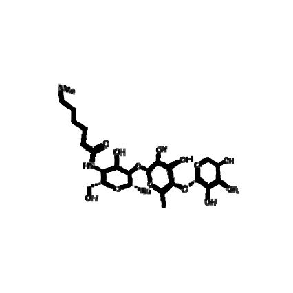 CNCCCCCC(=O)N[C@H]1C(O)C(O[C@@H]2OC(C)[C@H](O[C@@H]3OC[C@@H](O)C(O)C3O)C(O)C2O)[C@H](C(C)(C)C)O[C@@H]1CO